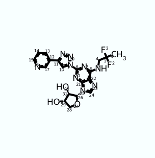 CC(F)(F)CNc1nc(-n2cc(-c3cccnc3)nn2)nc2c1ncn2[C@@H]1OC[C@@H](O)[C@H]1O